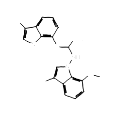 CCOc1cccc2c(O)cn(NC(C)Oc3cccc4c(O)c[nH]c34)c12